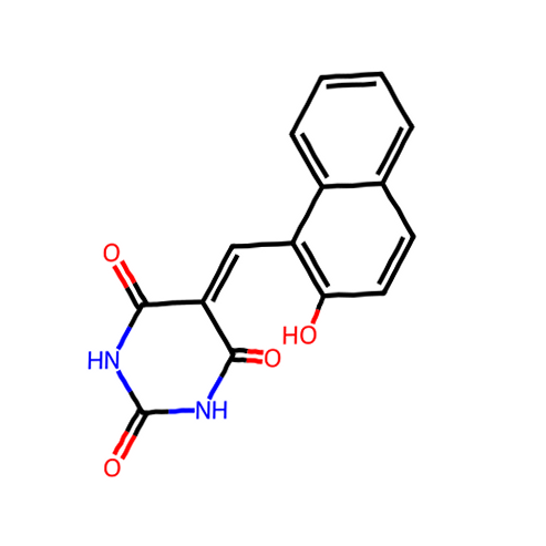 O=C1NC(=O)C(=Cc2c(O)ccc3ccccc23)C(=O)N1